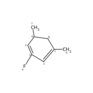 CC1=CC(F)=CC(C)[CH]1